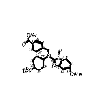 COC(=O)c1ccc(CN(c2nc3cc(OC)ccc3n2C)C2CCC(C(C)(C)C)CC2)cc1